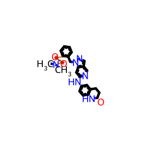 CN(C)S(=O)(=O)c1ccccc1Cn1ncc2cnc(Nc3ccc4c(c3)CCC(=O)N4)cc21